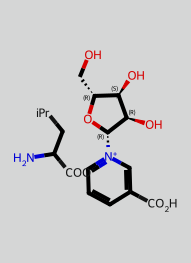 CC(C)CC(N)C(=O)[O-].O=C(O)c1ccc[n+]([C@@H]2O[C@H](CO)[C@@H](O)[C@H]2O)c1